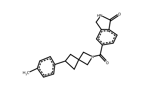 Cc1ccc(C2CC3(C2)CN(C(=O)c2ccc4c(c2)CNC4=O)C3)cc1